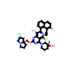 C#Cc1c(F)ccc2cccc(-c3nc(Cl)c4c(N5CCC[C@@](C)(O)C5)nc(OC[C@@]56CCCN5C[C@H](F)C6)nc4c3F)c12